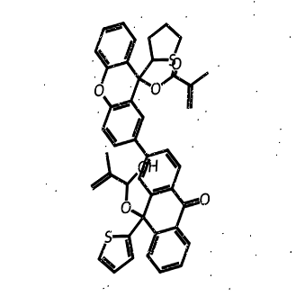 C=C(C)C(=O)OC1(C2CCCS2)c2ccccc2Oc2ccc(-c3ccc4c(c3)C(OC(O)C(=C)C)(c3cccs3)c3ccccc3C4=O)cc21